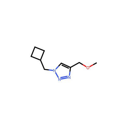 COCc1cn(CC2CCC2)nn1